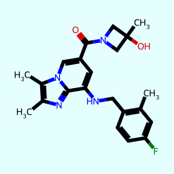 Cc1cc(F)ccc1CNc1cc(C(=O)N2CC(C)(O)C2)cn2c(C)c(C)nc12